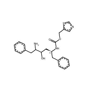 NC(Cc1ccccc1)C(O)C[C@H](Cc1ccccc1)NC(=O)OCc1cncs1